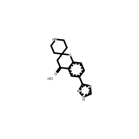 Cl.O=C1CC2(CCNCC2)Oc2ccc(-c3nc[nH]n3)cc21